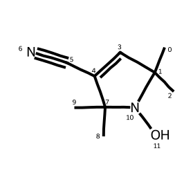 CC1(C)C=C(C#N)C(C)(C)N1O